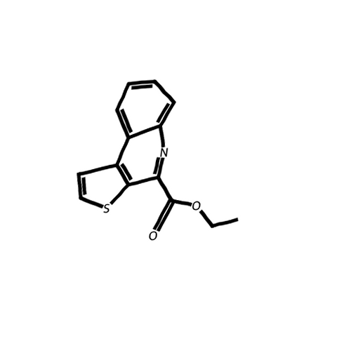 CCOC(=O)c1nc2ccccc2c2ccsc12